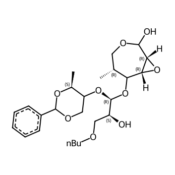 CCCCOC[C@H](O)[C@@H](OC1COC(c2ccccc2)O[C@H]1C)OC1[C@H](C)COC(O)[C@@H]2O[C@H]12